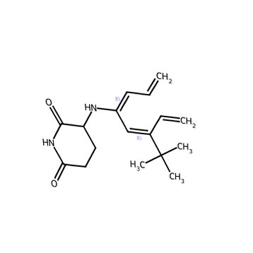 C=C/C=C(\C=C(/C=C)C(C)(C)C)NC1CCC(=O)NC1=O